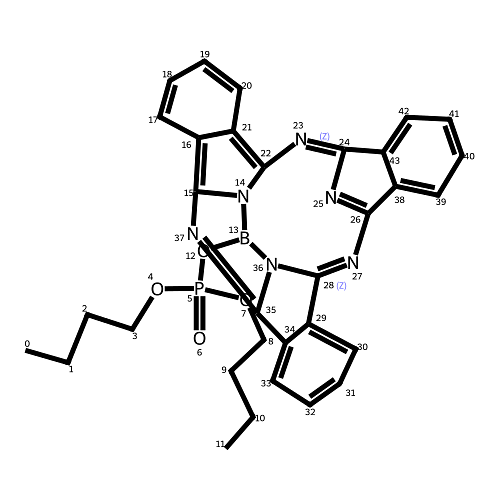 CCCCOP(=O)(OCCCC)OB1n2c3c4ccccc4c2/N=C2N=C(/N=c4/c5ccccc5c(n41)=N3)c1ccccc1\2